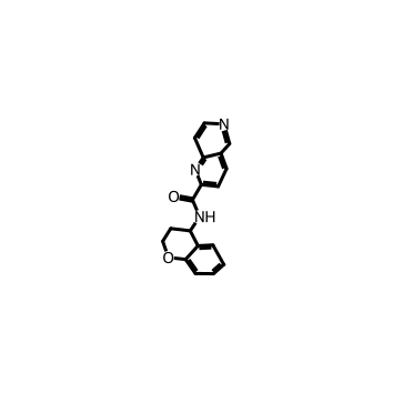 O=C(NC1CCOc2ccccc21)c1ccc2cnccc2n1